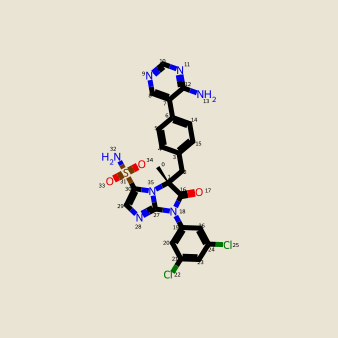 C[C@@]1(Cc2ccc(-c3cncnc3N)cc2)C(=O)N(c2cc(Cl)cc(Cl)c2)c2ncc(S(N)(=O)=O)n21